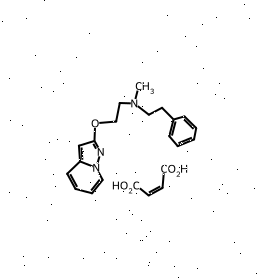 CN(CCOc1cc2ccccn2n1)CCc1ccccc1.O=C(O)/C=C\C(=O)O